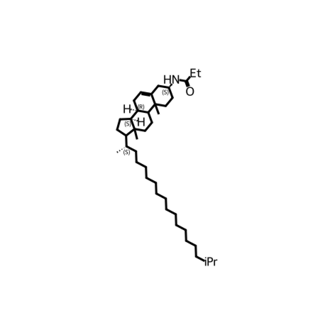 CCC(=O)N[C@H]1CCC2(C)C(=CC[C@H]3C2CCC2(C)C([C@@H](C)CCCCCCCCCCCCCCC(C)C)CC[C@@H]32)C1